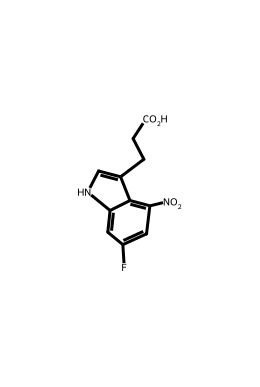 O=C(O)CCc1c[nH]c2cc(F)cc([N+](=O)[O-])c12